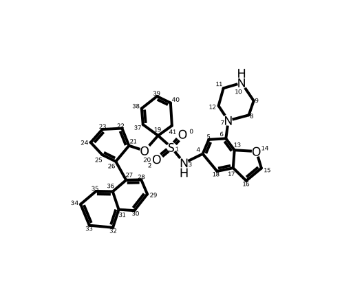 O=S(=O)(Nc1cc(N2CCNCC2)c2occc2c1)C1(Oc2ccccc2-c2cccc3ccccc23)C=CC=CC1